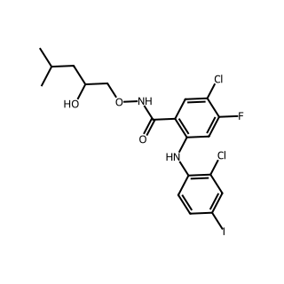 CC(C)CC(O)CONC(=O)c1cc(Cl)c(F)cc1Nc1ccc(I)cc1Cl